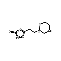 O=c1[nH]nc(CC[C@@H]2CNCCO2)o1